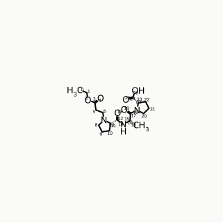 CCOC(=O)CCN1CCC[C@H]1C(=O)N[C@@H](C)C(=O)N1CCC[C@H]1C(=O)O